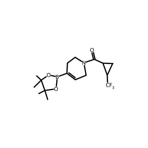 CC1(C)OB(C2=CCN(C(=O)C3CC3C(F)(F)F)CC2)OC1(C)C